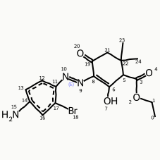 CCOC(=O)C1C(O)=C(/N=N/c2ccc(N)cc2Br)C(=O)CC1(C)C